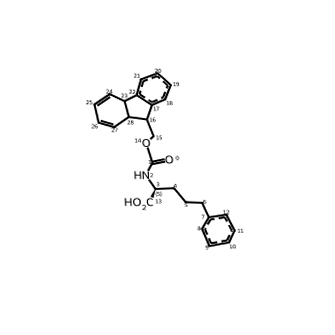 O=C(N[C@@H](CCCc1ccccc1)C(=O)O)OCC1c2ccccc2C2C=CC=CC21